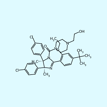 CCOc1cc(C(C)(C)C)ccc1C1=N[C@@](C)(c2ccc(Cl)cc2)[C@@](C)(c2ccc(Cl)cc2)N1C(=O)N1CCN(CCO)CC1